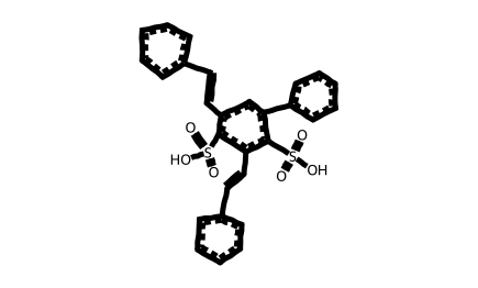 O=S(=O)(O)c1c(C=Cc2ccccc2)cc(-c2ccccc2)c(S(=O)(=O)O)c1C=Cc1ccccc1